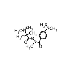 CN(OC(=O)C(C)(C)N(C)C)C(=O)c1ccc(N(C)C)cc1